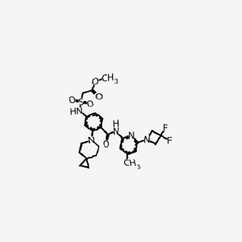 COC(=O)CS(=O)(=O)Nc1ccc(C(=O)Nc2cc(C)cc(N3CC(F)(F)C3)n2)c(N2CCC3(CC2)CC3)c1